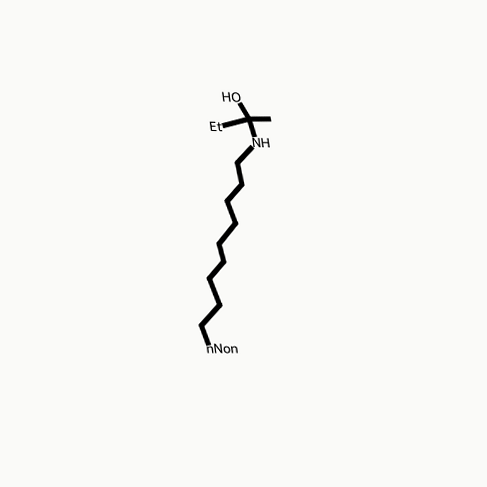 CCCCCCCCCCCCCCCCCCNC(C)(O)CC